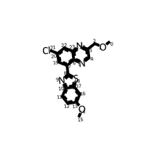 COCc1cnc2c(-c3nc4ccc(OC)cc4s3)cc(Cl)cc2n1